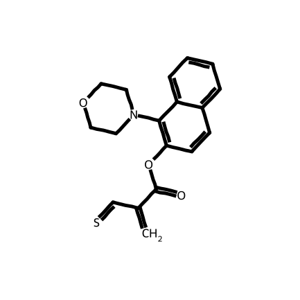 C=C(C=S)C(=O)Oc1ccc2ccccc2c1N1CCOCC1